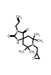 C=CCN1C(=O)NC2(CC(C)(C)N(CC3CO3)C(C)(C)C2)C1=O